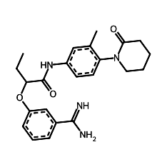 CCC(Oc1cccc(C(=N)N)c1)C(=O)Nc1ccc(N2CCCCC2=O)c(C)c1